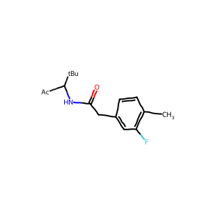 CC(=O)C(NC(=O)Cc1ccc(C)c(F)c1)C(C)(C)C